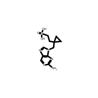 Nc1ncc2ncn(CC3(CCP(=O)(O)O)CC3)c2n1